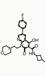 CC1CC(NC(=O)c2c(O)c3cc(-c4ccc(F)cc4)cnc3n(CCN3CCOCC3)c2=O)C1